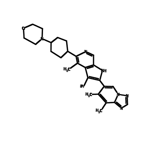 Cc1c(-c2[nH]c3cnc(C4CCC(N5CCOCC5)CC4)c(C)c3c2C(C)C)cn2ncnc2c1C